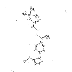 CCn1nccc1-c1ccc([C@H](C)CCCC(=O)OC(C)(C)C)cc1